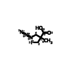 CC(CF)(CN=[N+]=[N-])C(=O)O